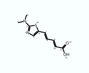 CN(C)c1ncc(C=CC=CC(=O)O)s1